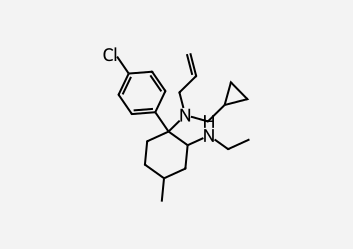 C=CCN(CC1CC1)C1(c2ccc(Cl)cc2)CCC(C)CC1NCC